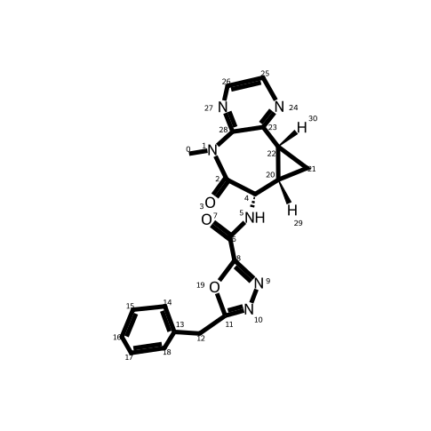 CN1C(=O)[C@@H](NC(=O)c2nnc(Cc3ccccc3)o2)[C@H]2C[C@H]2c2nccnc21